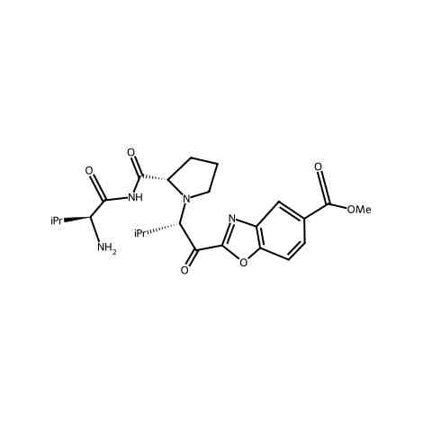 COC(=O)c1ccc2oc(C(=O)[C@H](C(C)C)N3CCC[C@H]3C(=O)NC(=O)[C@@H](N)C(C)C)nc2c1